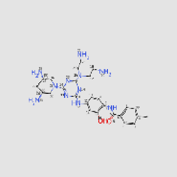 Cc1ccc(C(=O)Nc2ccc(Nc3nc(N(CCN)CCN)nc(N4C[C@H](N)C[C@H](N)C4)n3)cc2O)cc1